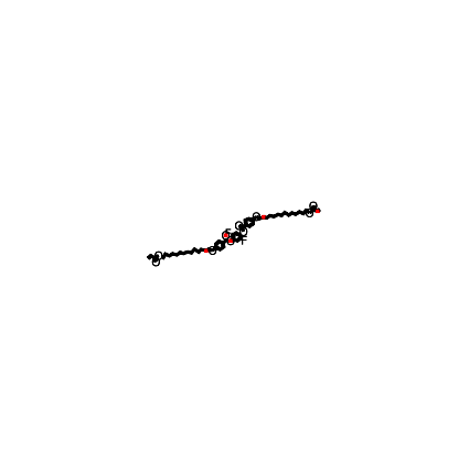 C=CC(=O)OCCCCCCCCCCCCCCOc1ccc(C(=O)Oc2cc(F)c(OC(=O)c3ccc(OCCCCCCCCCCCCCCOC(=O)C=C)cc3)cc2F)cc1